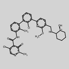 COc1nc(-c2cccc(-c3cccc(NC(=O)c4c(Cl)cnn(C)c4=O)c3C)c2Cl)ccc1CNC1CCCC[C@@H]1O